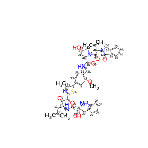 COc1cc(-c2sc(CC(=O)[C@H](CC(C)C)NC(=O)[C@@H](O)[C@H](N)Cc3ccccc3)nc2C)ccc1CNC(=O)[C@@H]1C[C@@H](O)CN1C(=O)[C@H](C(C)C)N1Cc2ccccc2C1=O